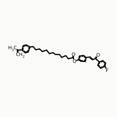 C=C(C)c1ccc(CCCCCCCCCCCCC(=O)Oc2ccc(C=CC(=O)c3ccc(F)cc3)cc2)cc1